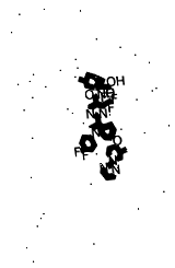 CC1CC2CC(C1)C(NC(=O)c1cnc(-c3cn(C4CCC(F)(F)CC4)c4cc(OC5CCN(c6ncccn6)CC5C)ccc34)nc1C(F)(F)F)(C(=O)O)C2